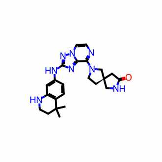 CC1(C)CCNc2cc(Nc3nc4c(N5CC[C@@]6(CNC(=O)C6)C5)nccn4n3)ccc21